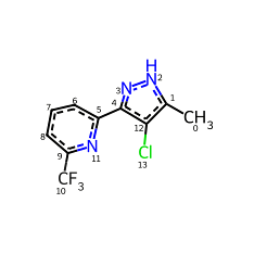 Cc1[nH]nc(-c2cccc(C(F)(F)F)n2)c1Cl